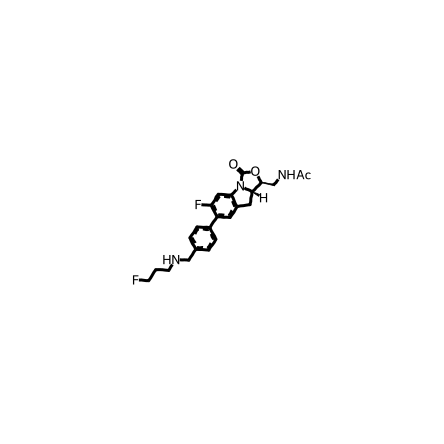 CC(=O)NC[C@@H]1OC(=O)N2c3cc(F)c(-c4ccc(CNCCCF)cc4)cc3C[C@@H]12